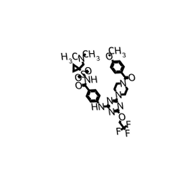 COc1ccc(C(=O)N2CCN(c3nc(Nc4ccc(C(=O)NS(=O)(=O)C5(CN(C)C)CC5)cc4)nc(OCC(F)(F)F)n3)CC2)cc1